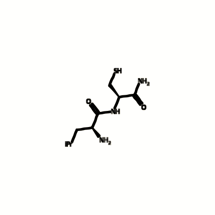 CC(C)C[C@H](N)C(=O)N[C@@H](CS)C(N)=O